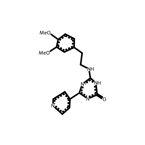 COc1ccc(CCNc2nc(-c3ccncc3)nc(=O)[nH]2)cc1OC